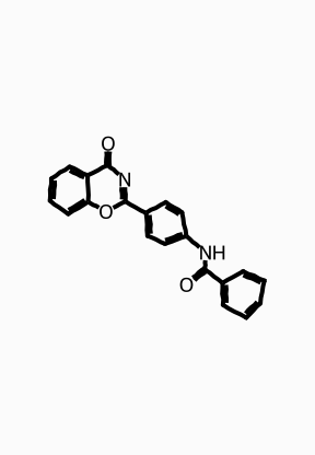 O=C(Nc1ccc(-c2nc(=O)c3ccccc3o2)cc1)c1ccccc1